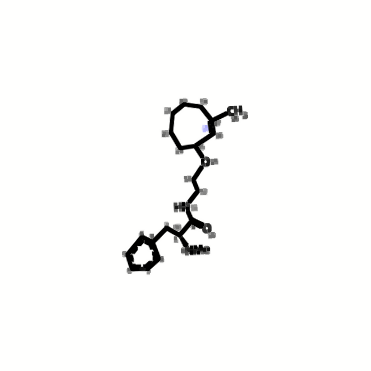 CN[C@@H](Cc1ccccc1)C(=O)NCCOC1/C=C(/C)CCCCC1